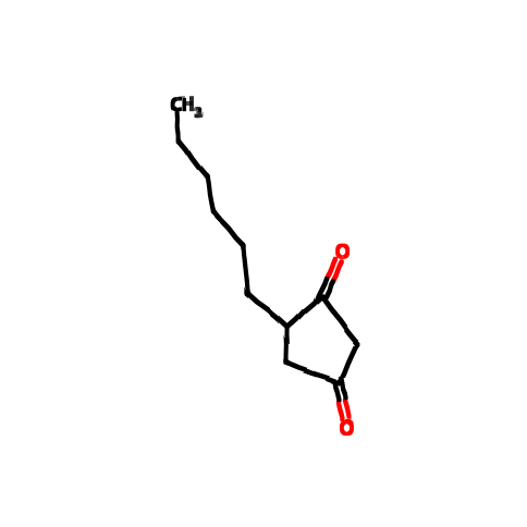 CCCCCCC1CC(=O)CC1=O